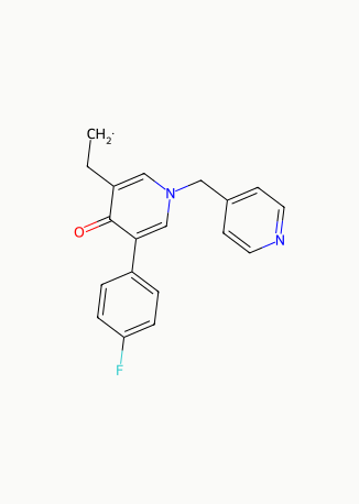 [CH2]Cc1cn(Cc2ccncc2)cc(-c2ccc(F)cc2)c1=O